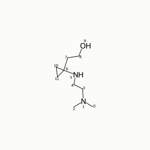 CN(C)CCNC1(CCO)CC1